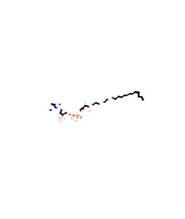 CCCCC/C=C\C/C=C\CCCCCCCC(=O)SCCNC(=O)CCNC(=O)[C@H](O)C(C)(C)COP(=O)(O)OP(=O)(O)OC[C@H]1O[C@@H](n2cnc3c(N)ncnc32)[C@H](O)[C@@H]1OP(=O)(O)O